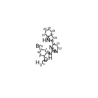 COc1ccc(Br)cc1Nc1nccc(-c2cc3ccccc3[nH]2)n1